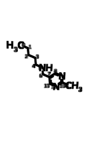 CCCCCNCc1cnc(C)nc1